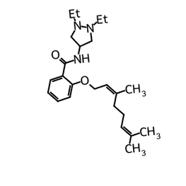 CCN1CC(NC(=O)c2ccccc2OCC=C(C)CCC=C(C)C)CN1CC